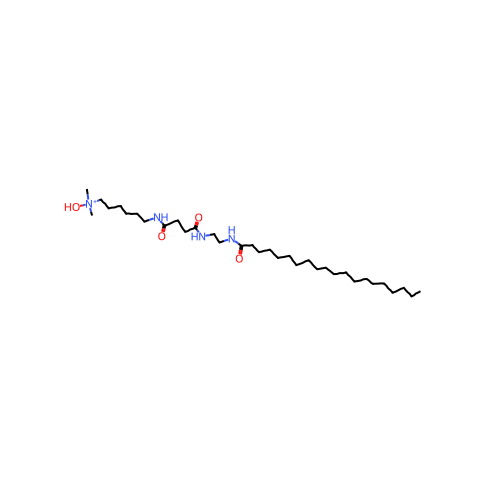 CCCCCCCCCCCCCCCCCCCC(=O)NCCNC(=O)CCC(=O)NCCCCCC[N+](C)(C)O